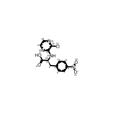 O=C(O)[C@H](Cc1ccc([N+](=O)[O-])cc1)Nc1nccnc1Cl